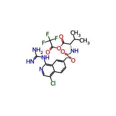 CC(C)[C@H](NS(=O)(=O)c1ccc2c(Cl)cnc(NC(=N)N)c2c1)C(=O)OC(=O)C(F)(F)F